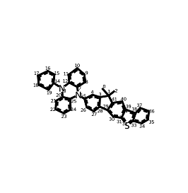 CC1(C)c2cc(N3c4ccccc4N(c4ccccc4)c4ccccc43)ccc2-c2cc3sc4ccccc4c3cc21